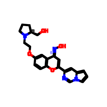 OC[C@@H]1CCCN1CCOc1ccc2oc(-c3cc4cccn4cn3)c/c(=N\O)c2c1